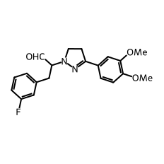 COc1ccc(C2=NN(C(C=O)Cc3cccc(F)c3)CC2)cc1OC